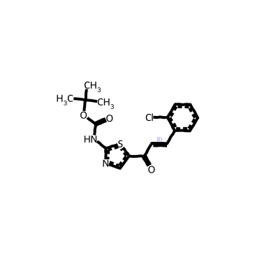 CC(C)(C)OC(=O)Nc1ncc(C(=O)/C=C/c2ccccc2Cl)s1